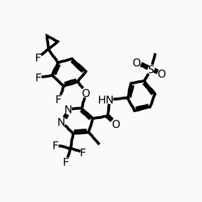 Cc1c(C(F)(F)F)nnc(Oc2ccc(C3(F)CC3)c(F)c2F)c1C(=O)Nc1cccc(S(C)(=O)=O)c1